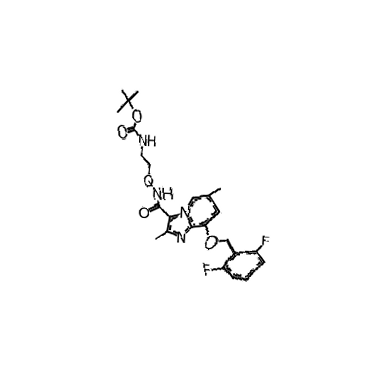 Cc1cc(OCc2c(F)cccc2F)c2nc(C)c(C(=O)NOCCNC(=O)OC(C)(C)C)n2c1